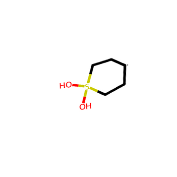 OS1(O)CC[CH]CC1